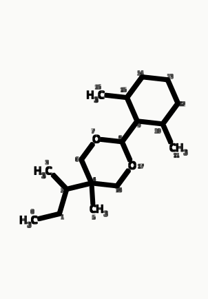 CCC(C)C1(C)COC(C2C(C)CCCC2C)OC1